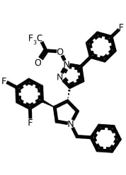 O=C(On1nc([C@@H]2CN(Cc3ccccc3)C[C@H]2c2ccc(F)cc2F)cc1-c1ccc(F)cc1)C(F)(F)F